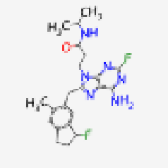 Cc1cc2c(cc1Cc1nc3c(N)nc(F)nc3n1CCC(=O)NC(C)C)C(F)CC2